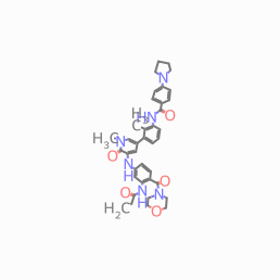 C=CC(=O)Nc1cc(Nc2cc(-c3cccc(NC(=O)c4ccc(N5CCCC5)cc4)c3C)cn(C)c2=O)ccc1C(=O)N1CCOCC1